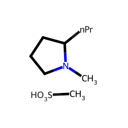 CCCC1CCCN1C.CS(=O)(=O)O